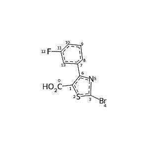 O=C(O)c1sc(Br)nc1-c1cccc(F)c1